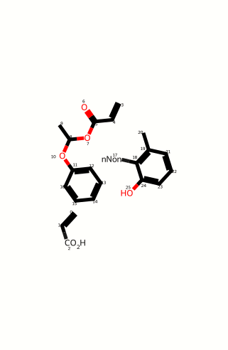 C=CC(=O)O.C=CC(=O)OC(C)Oc1ccccc1.CCCCCCCCCc1c(C)cccc1O